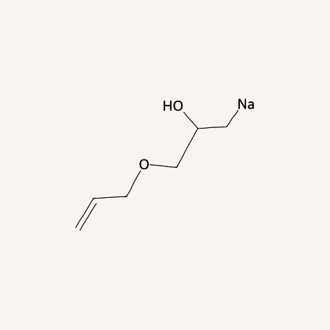 C=CCOCC(O)[CH2][Na]